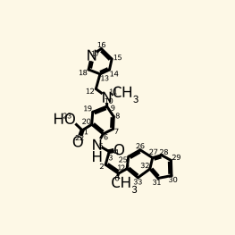 C/C(=C/C(=O)Nc1ccc(N(C)Cc2cccnc2)cc1C(=O)O)c1ccc2ccccc2c1